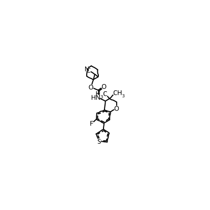 CC1(C)COc2cc(-c3ccsc3)c(F)cc2C1NC(=O)OC1CN2CCC1CC2